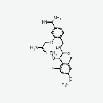 COc1cc(F)c(C(OC)C(=O)NCc2ccc(C(=N)N)cc2OCC(N)=O)c(F)c1